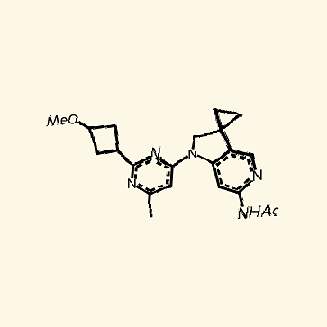 COC1CC(c2nc(C)cc(N3CC4(CC4)c4cnc(NC(C)=O)cc43)n2)C1